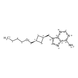 CCCCOC[C@H]1C[C@@H](Cn2cnc3c(N)ncnc32)C1